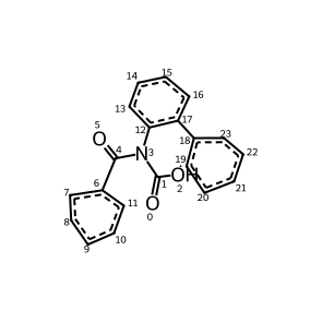 O=C(O)N(C(=O)c1ccccc1)c1ccccc1-c1[c]cccc1